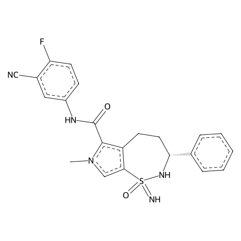 Cn1cc2c(c1C(=O)Nc1ccc(F)c(C#N)c1)CC[C@H](c1ccccc1)NS2(=N)=O